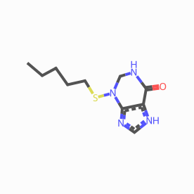 CCCCCSN1CNC(=O)c2[nH]cnc21